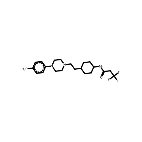 Cc1ccc(N2CCN(CCC3CCC(NC(=O)CC(F)(F)F)CC3)CC2)cc1